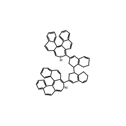 C1=CC2=C(CC1)C(C1CC(C3=c4ccc5ccccc5c4=c4c(ccc5ccccc45)=CP3)=CC3=C1CCC=C3)CC(C1=c3ccc4ccccc4c3=c3c(ccc4ccccc34)=CP1)=C2